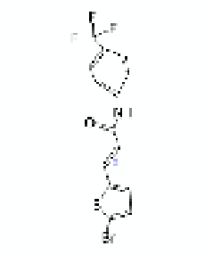 O=C(/C=C/c1ccc(Br)s1)Nc1ccc(C(F)(F)F)cc1